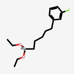 CCO[SiH](CCCCCc1cccc(F)c1)OCC